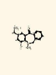 CN1Cc2ccccc2C(=O)c2cc(CC(=O)O)cc(Br)c21